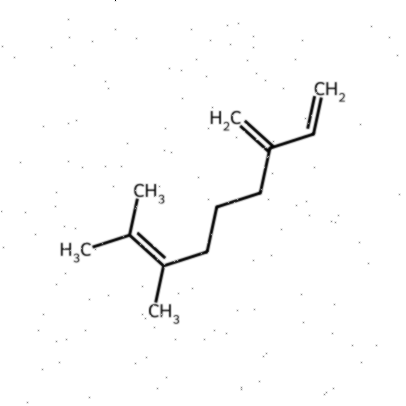 C=CC(=C)CCCC(C)=C(C)C